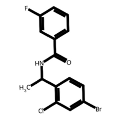 CC(NC(=O)c1cccc(F)c1)c1ccc(Br)cc1Cl